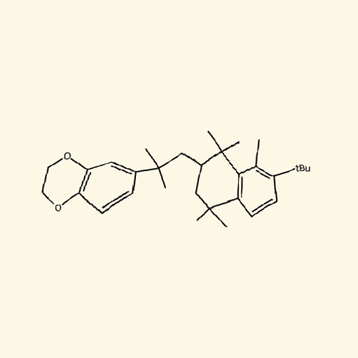 Cc1c(C(C)(C)C)ccc2c1C(C)(C)C(CC(C)(C)c1ccc3c(c1)OCCO3)CC2(C)C